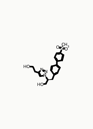 CS(=O)(=O)c1ccc(-c2ccc(C[C@@H](CO)n3cc(CCO)nn3)cc2)cc1